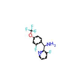 NC(c1ccc(OC(F)(F)F)cc1F)c1ncccc1F